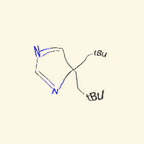 CC(C)(C)C1(C(C)(C)C)C=NC=N1